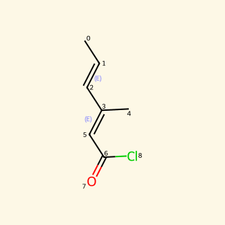 C/C=C/C(C)=C/C(=O)Cl